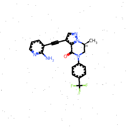 C[C@H]1CN(c2ccc(C(F)(F)F)cc2)C(=O)c2c(C#Cc3cccnc3N)cnn21